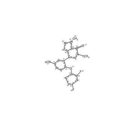 Cn1cc(-c2cc(N)ccc2Oc2ccc(F)cc2F)c2cnn(C)c2c1=O